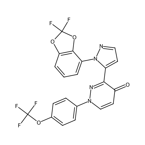 O=c1ccn(-c2ccc(OC(F)(F)F)cc2)nc1-c1ccnn1-c1cccc2c1OC(F)(F)O2